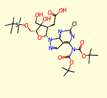 CC(C)(C)OC(=O)N(C(=O)OC(C)(C)C)c1nc(Cl)nc2c1cnn2[C@@H]1O[C@H](CO[Si](C)(C)C(C)(C)C)C(O)(CO)[C@H]1CC(=O)O